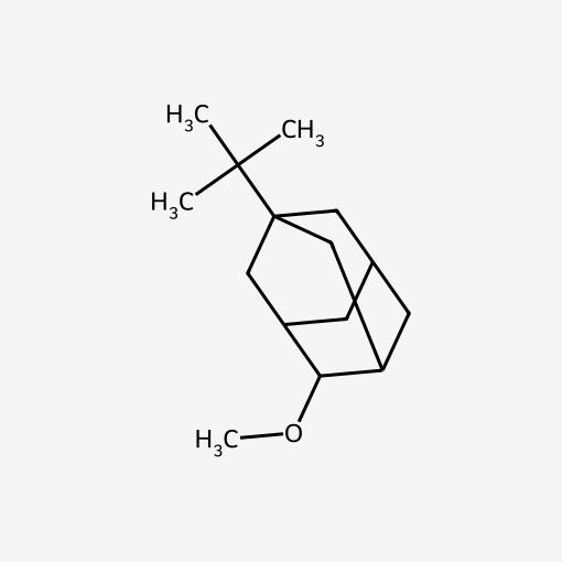 COC1C2CC3CC1CC(C(C)(C)C)(C3)C2